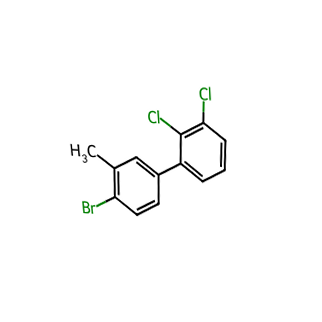 Cc1cc(-c2cccc(Cl)c2Cl)ccc1Br